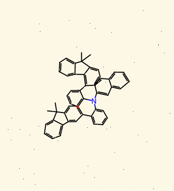 CC1(C)c2ccccc2-c2cc(-c3ccccc3N(c3ccc4ccccc4c3)c3ccccc3-c3cccc4c3-c3ccccc3C4(C)C)ccc21